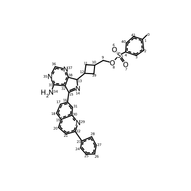 Cc1ccc(S(=O)(=O)OCC2CC(C3N=C(c4ccc5ccc(-c6ccccc6)nc5c4)c4c(N)ncnc43)C2)cc1